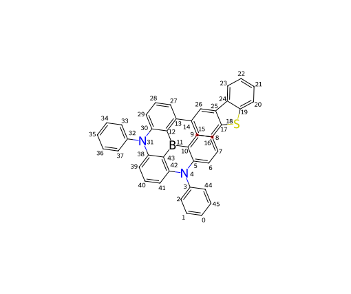 c1ccc(N2c3ccccc3B3c4c(-c5ccc6sc7ccccc7c6c5)cccc4N(c4ccccc4)c4cccc2c43)cc1